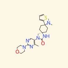 Cc1nc(N2CCOCC2)ncc1N1C[C@]2(CC[C@](c3cccs3)(N(C)C)CC2)NC1=O